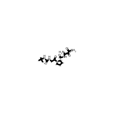 CC(C)(C)NC(=O)NCC(=O)N1CCC[C@H]1C(=O)NC(N)C(=O)C(N)=O